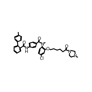 Cc1ccc(-c2ccccc2C(=O)Nc2ccc(C(=O)N(C)c3ccc(Cl)cc3OCCCCCC(=O)N3CCN(C)CC3)cc2)cc1